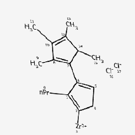 CCCC1=[C]([Zr+2])CC=C1C1=C(C)C(C)=C(C)C1C.[Cl-].[Cl-]